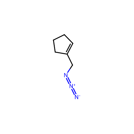 [N-]=[N+]=NCC1=CCCC1